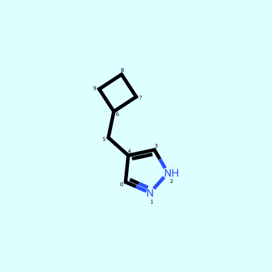 c1n[nH]cc1CC1CCC1